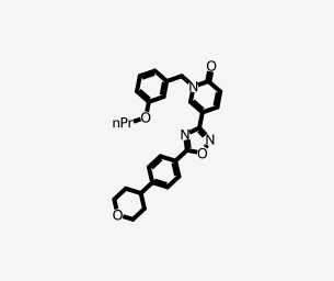 CCCOc1cccc(Cn2cc(-c3noc(-c4ccc(C5CCOCC5)cc4)n3)ccc2=O)c1